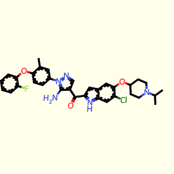 Cc1cc(-n2ncc(C(=O)c3cc4cc(OC5CCN(C(C)C)CC5)c(Cl)cc4[nH]3)c2N)ccc1Oc1ccccc1F